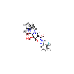 Cc1cccc(CNC(=O)c2cn3c(c(O)c2=O)C(=O)N2[C@H]4CC[C@H](C4)[C@@H]2C3)c1F